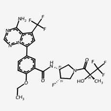 CCOc1ccc(-c2cc(C(F)(F)F)c3c(N)ncnn23)cc1C(=O)N[C@@H]1CN(C(=O)[C@@](C)(O)C(F)(F)F)C[C@@H]1F